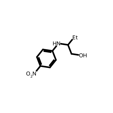 CCC(CO)Nc1ccc([N+](=O)[O-])cc1